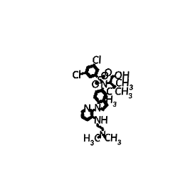 CN(C)CCNc1cccnc1-n1ccc2cc(N(C(C(=O)O)C(C)(C)C)S(=O)(=O)c3cc(Cl)cc(Cl)c3)ccc21